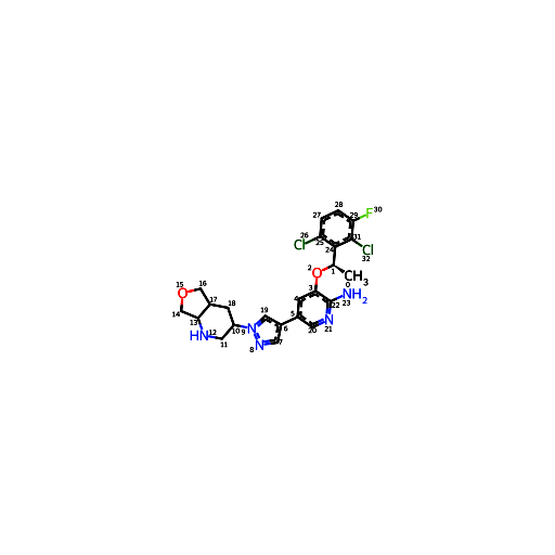 C[C@@H](Oc1cc(-c2cnn(C3CNC4COCC4C3)c2)cnc1N)c1c(Cl)ccc(F)c1Cl